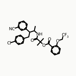 CC(NC(=O)C(C)(C)OC(=O)c1ccccc1OCC(F)(F)F)C(Cc1ccc(Cl)cc1)c1cccc(C#N)c1